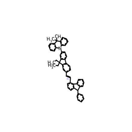 CCC1(CC)c2cc(/C=C/c3cccc4c3-c3ccccc3C4c3ccccc3)ccc2-c2ccc(N3c4ccccc4C(C)(C)c4ccccc43)cc21